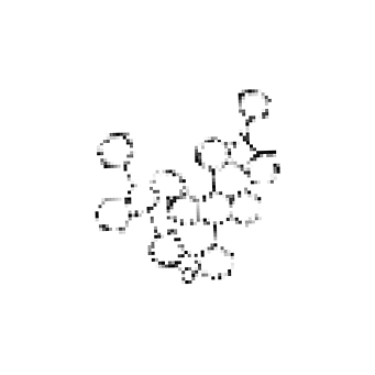 C1=Cc2c(c(-c3ccccc3)c3ccccc3c2-c2ccc3oc4cccc(-c5c6ccccc6c(-c6cccc7c6c6ccccc6n7-c6ccccc6)c6ccccc56)c4c3c2)CC1